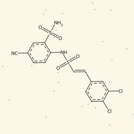 N#Cc1ccc(NS(=O)(=O)/C=C/c2ccc(Cl)c(Cl)c2)c(S(N)(=O)=O)c1